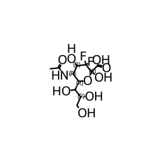 CC(=O)N[C@@H]1[C@@H](O)C(F)(F)[C@](O)(C(=O)O)O[C@H]1C(O)[C@H](O)CO